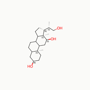 C[C@H](CO)[C@H]1CCC2C3CCC4C[C@H](O)CC[C@]4(C)C3C[C@H](O)[C@@]21C